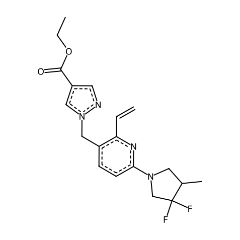 C=Cc1nc(N2CC(C)C(F)(F)C2)ccc1Cn1cc(C(=O)OCC)cn1